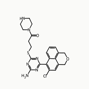 Nc1nc(SCCC(=O)N2CCNCC2)nc(-c2c(Cl)cc3c4c(cccc24)COC3)n1